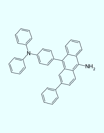 Nc1c2ccccc2c(-c2ccc(N(c3ccccc3)c3ccccc3)cc2)c2cc(-c3ccccc3)ccc12